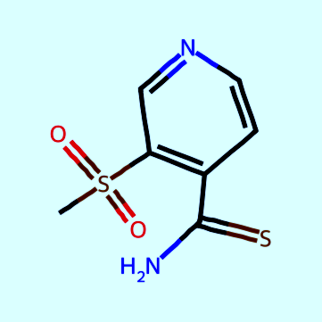 CS(=O)(=O)c1cnccc1C(N)=S